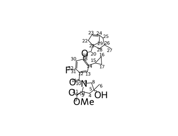 COC(=O)[C@@H]1CC(C)(O)CN1C(=O)c1cc(C2CC2)c(OCC23CC=C(CC(C)C2)C3)cc1F